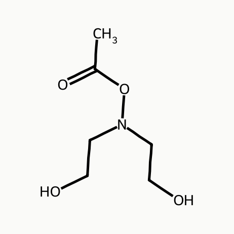 CC(=O)ON(CCO)CCO